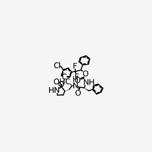 O=C[C@H](C[C@@H]1CCNC1=O)NC(=O)[C@H](Cc1ccccc1)NC(=O)OC(c1ccccc1)C(F)(F)c1cccc(Cl)c1